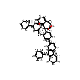 C1=CCNC(c2ccc3c(c2)Oc2cc(-c4ccc5c6c(n(-c7ccccc7)c5c4)CCC=C6)ccc2C32c3ccccc3Oc3ccccc32)=C1